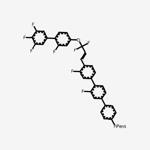 CCCCCc1ccc(-c2ccc(-c3ccc(/C=C/C(F)(F)Oc4ccc(-c5cc(F)c(F)c(F)c5)c(F)c4)c(F)c3)c(F)c2)cc1